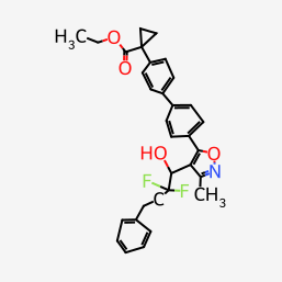 CCOC(=O)C1(c2ccc(-c3ccc(-c4onc(C)c4C(O)C(F)(F)CCc4ccccc4)cc3)cc2)CC1